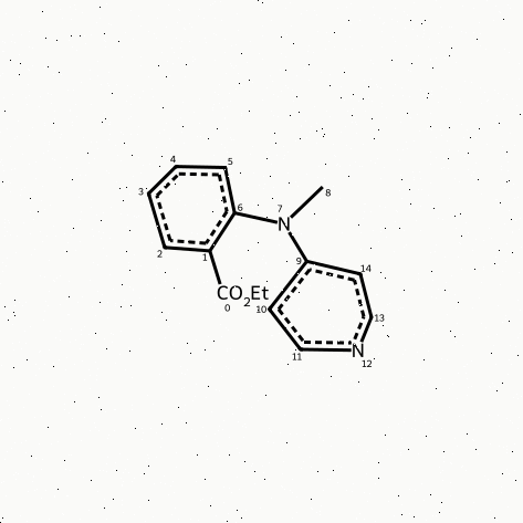 CCOC(=O)c1ccccc1N(C)c1ccncc1